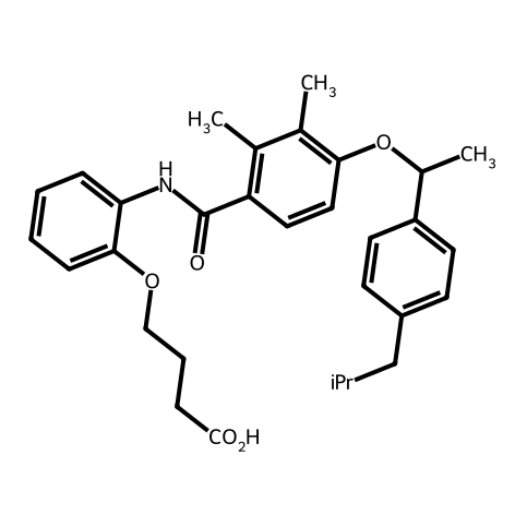 Cc1c(OC(C)c2ccc(CC(C)C)cc2)ccc(C(=O)Nc2ccccc2OCCCC(=O)O)c1C